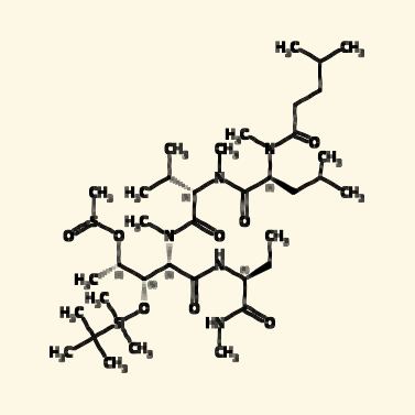 CC[C@H](NC(=O)[C@H]([C@H](O[Si](C)(C)C(C)(C)C)[C@H](C)OS(C)=O)N(C)C(=O)[C@H](C(C)C)N(C)C(=O)[C@H](CC(C)C)N(C)C(=O)CCC(C)C)C(=O)NC